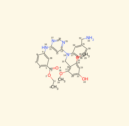 CCOC(=O)c1cccc(Nc2cc(N(Cc3c(OC)cc(O)cc3OC)c3cccc(CN)c3)ncn2)c1